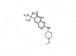 BC(B)(B)c1cc2cnc(NC3CCN(SC)CC3)nc2[nH]c1=O